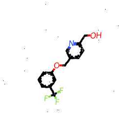 OCc1ccc(COc2cccc(C(F)(F)F)c2)cn1